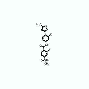 Cc1nc(-c2ccc(NC(=O)c3ccc(S(C)(=O)=O)cc3F)cc2Cl)cs1